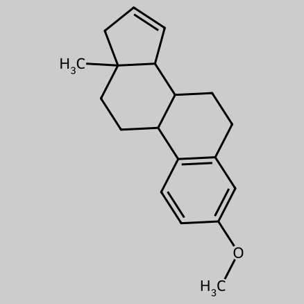 COc1ccc2c(c1)CCC1C2CCC2(C)CC=CC12